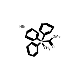 Br.COC(=O)P(C)(c1ccccc1)(c1ccccc1)c1ccccc1